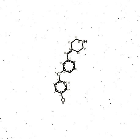 Clc1ccc(Oc2cccc(C=C3CCNCC3)c2)nc1